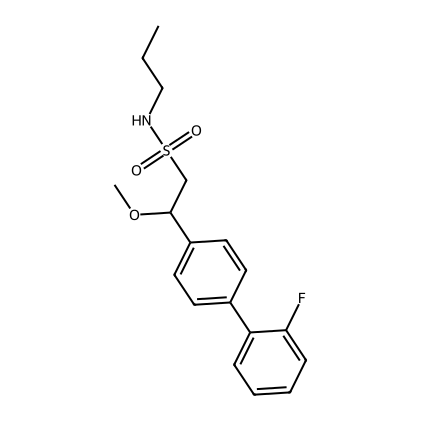 CCCNS(=O)(=O)CC(OC)c1ccc(-c2ccccc2F)cc1